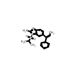 C/C=C(/c1ccccc1)c1ccc2nc(N)n(S(=O)(=O)C(C)C)c2c1